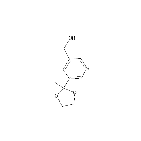 CC1(c2cncc(CO)c2)OCCO1